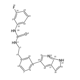 O=C(NCCc1cccc(-c2cnc3[nH]ccc3c2)c1)Nc1cccc(F)c1